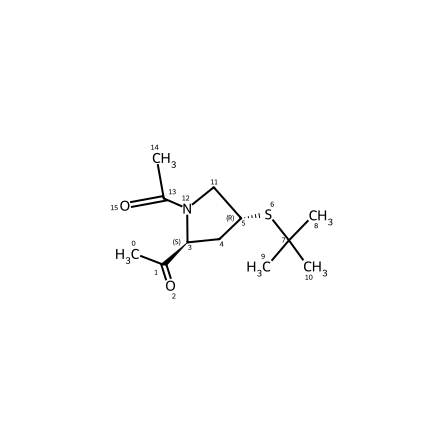 CC(=O)[C@@H]1C[C@@H](SC(C)(C)C)CN1C(C)=O